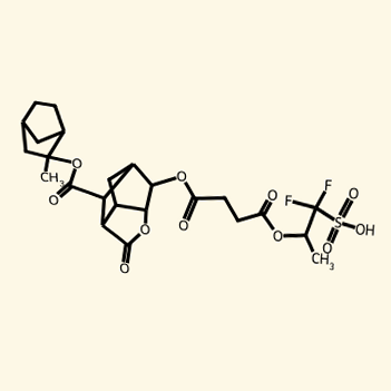 CC(OC(=O)CCC(=O)OC1C2CC3C1OC(=O)C3C2C(=O)OC1(C)CC2CCC1C2)C(F)(F)S(=O)(=O)O